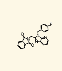 O=C1c2ccccc2C(=O)N1Cc1nc2cccnc2n1Cc1ccc(F)cc1